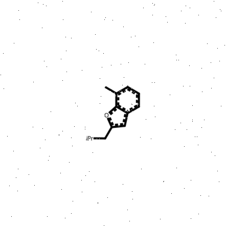 Cc1[c]ccc2cc(CC(C)C)oc12